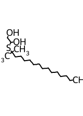 CCCCCCCCCCCCCCC(C)(C)SC(O)CO